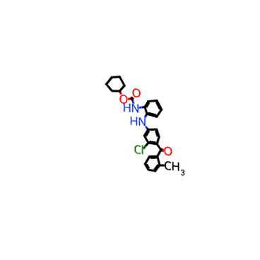 Cc1ccccc1C(=O)c1ccc(Nc2ccccc2NC(=O)OC2CCCCC2)cc1Cl